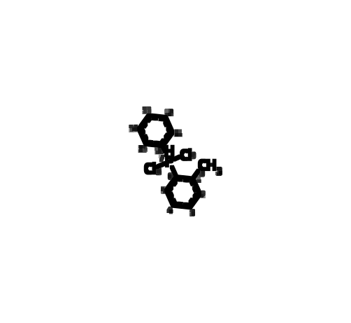 Cc1ccccc1[PH](Cl)(Cl)c1ccccc1